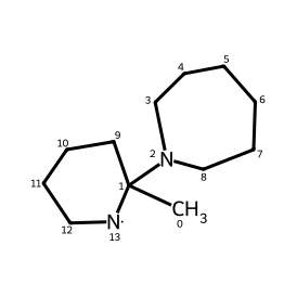 CC1(N2CCCCCC2)CCCC[N]1